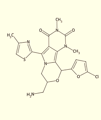 Cc1csc(-c2c3c(=O)n(C)c(=O)n(C)c3c3n2CC(CN)OC3c2ccc(Cl)o2)n1